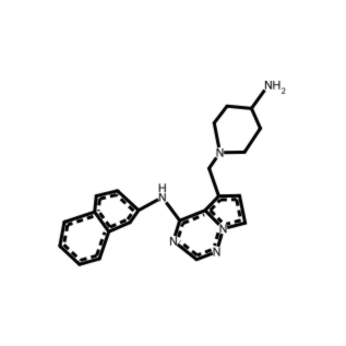 NC1CCN(Cc2ccn3ncnc(Nc4ccc5ccccc5c4)c23)CC1